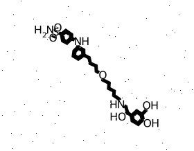 NS(=O)(=O)c1ccc(Nc2cccc(CCCCOCCCCCCNCC(O)c3ccc(O)c(CO)c3)c2)cc1